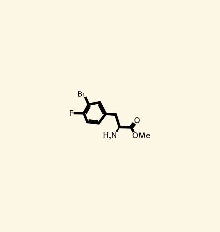 COC(=O)[C@@H](N)Cc1ccc(F)c(Br)c1